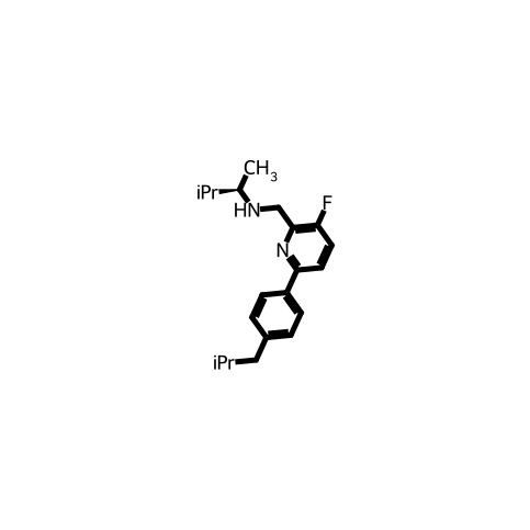 CC(C)Cc1ccc(-c2ccc(F)c(CN[C@H](C)C(C)C)n2)cc1